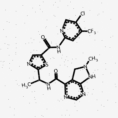 CC(NC(=O)c1ncnc2c1CN(C)N2)c1ncc(C(=O)Nc2cc(C(F)(F)F)c(Cl)cn2)s1